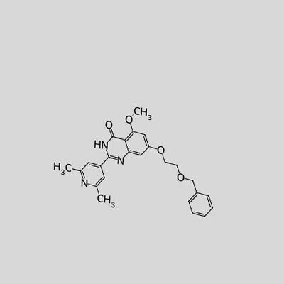 COc1cc(OCCOCc2ccccc2)cc2nc(-c3cc(C)nc(C)c3)[nH]c(=O)c12